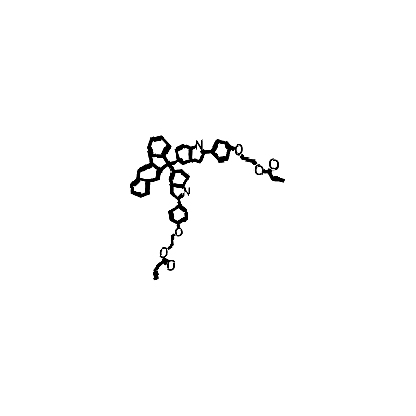 C=CC(=O)OCCOc1ccc(C2=Nc3ccc(C4(c5ccc6c(c5)CC(c5ccc(OCCOC(=O)C=C)cc5)=N6)c5ccccc5-c5cc6ccccc6cc54)cc3C2)cc1